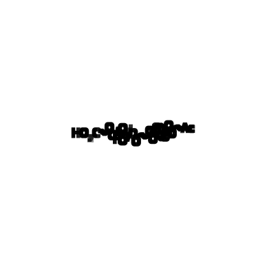 CC(=O)C=CC(=O)O[C@@H]1CO[C@H]2[C@@H]1OC[C@H]2OC(=O)C=CC(=O)O[C@@H]1CO[C@H]2[C@@H]1OC[C@H]2OC(=O)C=CC(=O)O